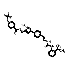 CC(C)c1ccccc1NC(=S)N/N=C/c1ccc(-c2cc(N=NC(=O)c3ccc(OC(F)(F)F)cc3)n(C)n2)cc1